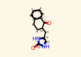 O=C1c2ccccc2CCC1Cc1c[nH]c(=O)[nH]1